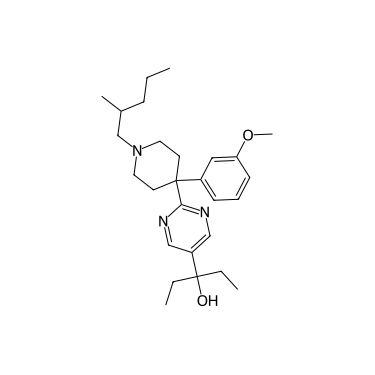 CCCC(C)CN1CCC(c2cccc(OC)c2)(c2ncc(C(O)(CC)CC)cn2)CC1